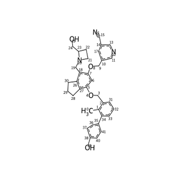 Cc1c(COc2cc(OCc3cncc(C#N)c3)c(CN3CCC3CO)c3c2CCC3)cccc1-c1ccc(O)cc1